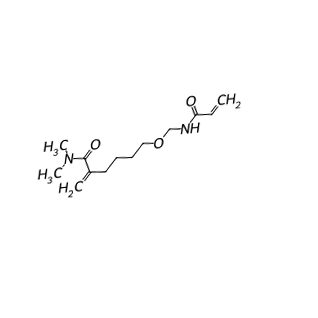 C=CC(=O)NCOCCCCC(=C)C(=O)N(C)C